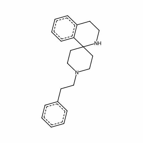 c1ccc(CCN2CCC3(CC2)NCCc2ccccc23)cc1